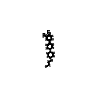 CCCC[C@H]1CC[C@H](C2C=CC(c3ccc(F)c(F)c3)=CC2)CC1